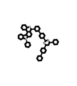 c1ccc(-c2ccc(-c3cc(-c4ccccc4)nc(-c4ccc(-c5cccc(-c6nc7ccccc7c7c6ccc6c7c7ccccc7n6-c6ccccc6)c5)cc4)n3)cc2)cc1